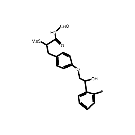 CSC(Cc1ccc(OCC(O)c2ccccc2F)cc1)C(=O)NC=O